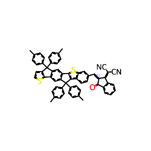 Cc1ccc(C2(c3ccc(C)cc3)c3cc4c(cc3-c3sccc32)C(c2ccc(C)cc2)(c2ccc(C)cc2)c2c-4sc3cc(/C=C4\C(=O)c5ccccc5C4=C(C#N)C#N)ccc23)cc1